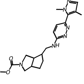 Cc1cnn(C)c1-c1ccc(NCC2CCC3CN(C(=O)OC(C)(C)C)CC23)nn1